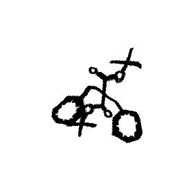 CC(C)(C)OC(=O)C(Cc1ccccc1)(Cc1ccccc1)C(=O)OC(C)(C)C